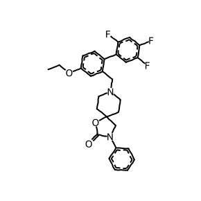 CCOc1ccc(-c2cc(F)c(F)cc2F)c(CN2CCC3(CC2)CN(c2ccccc2)C(=O)O3)c1